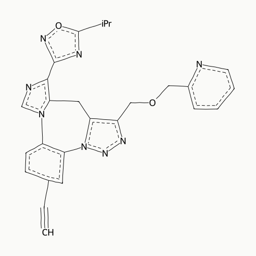 C#Cc1ccc2c(c1)-n1nnc(COCc3ccccn3)c1Cc1c(-c3noc(C(C)C)n3)ncn1-2